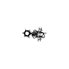 O[C@@H]1C2OB(c3ccccc3)OC1[C@@H]1CO[C@@H]2O1